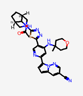 CC(=O)NC1[C@@H]2CC[C@H]1CN(c1nnc(-c3cnc(-c4ccc5cc(C#N)cnn45)cc3NC3(C)CCOCC3)s1)C2